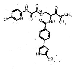 CN(C)C(=O)C(CNC(=O)C(=O)Nc1ccc(Cl)cn1)NC(=O)c1ccc(-c2c[nH]c(N)n2)cc1